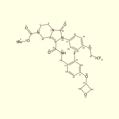 CC(C)(C)OC(=O)N1CCn2c(c(C(=O)NCc3ccc(OC4COC4)cc3F)n(-c3ccc(OCC(F)(F)F)cc3)c2=O)C1